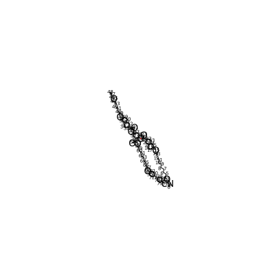 C=CCOCCCCCCCCCCCOc1ccc2cc(C(=O)Oc3ccc(OC(=O)c4ccc5cc(OCCCCCCOCC=C)ccc5c4)cc3C(=O)OCCCCCCCCCCOc3ccc(-c4ccc(C#N)cc4)cc3)ccc2c1